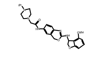 COc1cccc2c1C(NC1=Nc3ccc(NC(=O)CN4CCN(C(C)C)CC4)cc3CO1)CO2